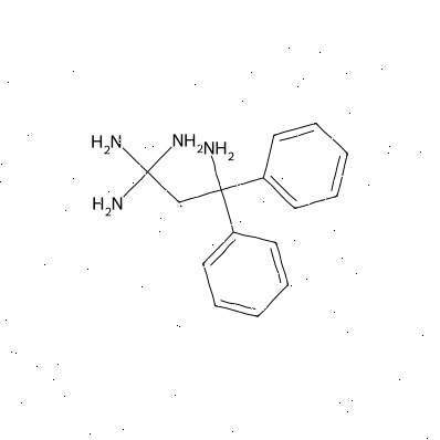 NC(N)(N)[C]C(N)(c1ccccc1)c1ccccc1